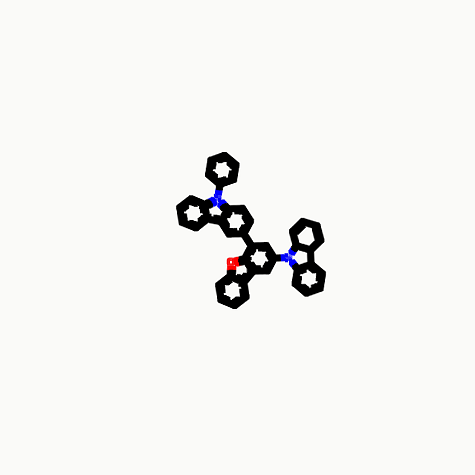 C1=CC2c3ccccc3N(c3cc(-c4ccc5c(c4)c4ccccc4n5-c4ccccc4)c4oc5ccccc5c4c3)C2C=C1